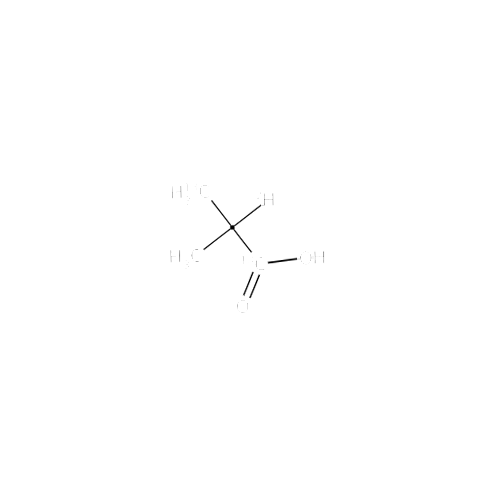 [2H]C(C)([13CH3])[13C](=O)O